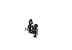 CN1CCN(c2ccc(Nc3ncc4cc(C(=O)C5CC5)c(=O)n(C5C(=O)c6ccccc6N(C)C5(C)C)c4n3)cc2)CC1